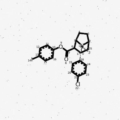 CN1C2CCC1C(C(=O)Oc1ccc(I)cc1)[C@@H](c1ccc(Cl)cc1)C2